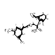 ON=C(COCc1cc(C(F)(F)F)cc(C(F)(F)F)c1)c1ccccc1Cl